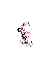 C=CCOC(=O)N1CCC[C@H]1/C=C/C1=C(C(=O)O)N2C(=O)[C@H]([C@@H](C)O[Si](C)(C)C)[C@H]2C1